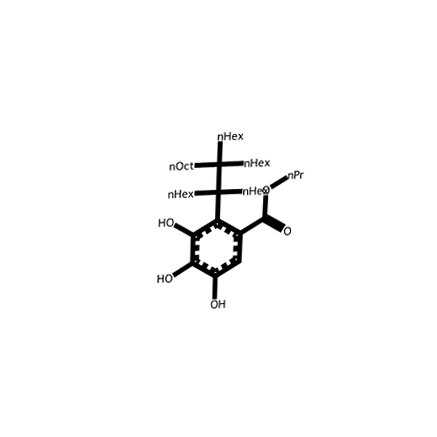 CCCCCCCCC(CCCCCC)(CCCCCC)C(CCCCCC)(CCCCCC)c1c(C(=O)OCCC)cc(O)c(O)c1O